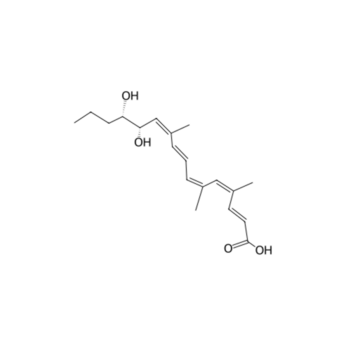 CCC[C@H](O)[C@@H](O)C=C(C)C=CC=C(C)C=C(C)C=CC(=O)O